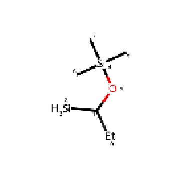 CC[C]([SiH3])O[Si](C)(C)C